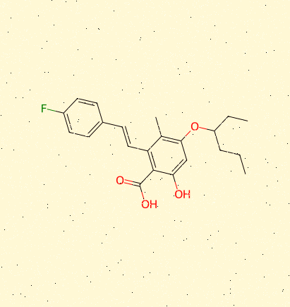 CCCC(CC)Oc1cc(O)c(C(=O)O)c(C=Cc2ccc(F)cc2)c1C